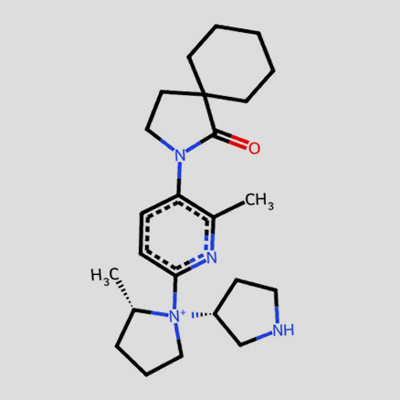 Cc1nc([N+]2([C@@H]3CCNC3)CCC[C@@H]2C)ccc1N1CCC2(CCCCC2)C1=O